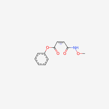 CONC(=O)/C=C\C(=O)Oc1ccccc1